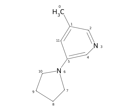 Cc1cncc(N2CCCC2)c1